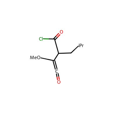 COC(=C=O)C(CC(C)C)C(=O)Cl